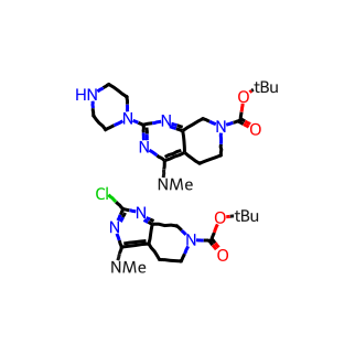 CNc1nc(Cl)nc2c1CCN(C(=O)OC(C)(C)C)C2.CNc1nc(N2CCNCC2)nc2c1CCN(C(=O)OC(C)(C)C)C2